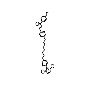 O=C(/C=C/c1ccc(CCCCCCCCc2ccc(N3C(=O)C=CC3=O)cc2)cc1)c1ccc(F)cc1